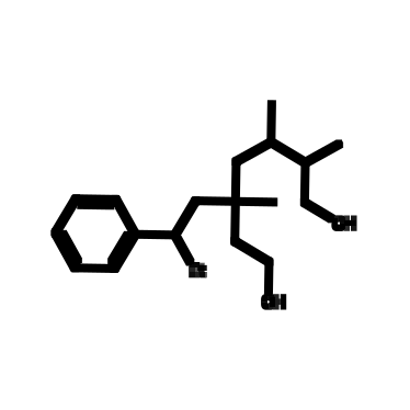 CCC(CC(C)(CCO)CC(C)C(C)CO)c1ccccc1